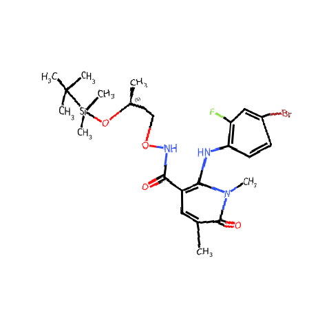 Cc1cc(C(=O)NOC[C@H](C)O[Si](C)(C)C(C)(C)C)c(Nc2ccc(Br)cc2F)n(C)c1=O